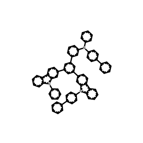 c1ccc(-c2ccc(N(c3ccccc3)c3cccc(-c4cc(-c5ccc6c7ccccc7n(-c7ccccc7)c6c5)cc(-c5ccc6c7ccccc7n(-c7ccc(-c8ccccc8)cc7)c6c5)c4)c3)cc2)cc1